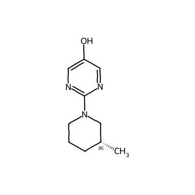 C[C@@H]1CCCN(c2ncc(O)cn2)C1